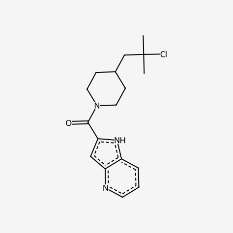 CC(C)(Cl)CC1CCN(C(=O)c2cc3ncccc3[nH]2)CC1